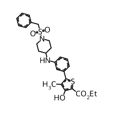 CCOC(=O)c1sc(-c2cccc(NC3CCN(S(=O)(=O)Cc4ccccc4)CC3)c2)c(C)c1O